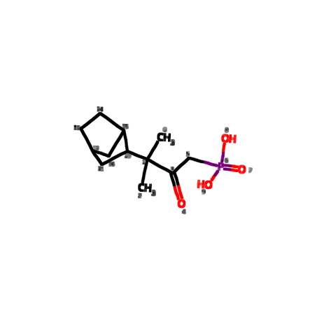 CC(C)(C(=O)CP(=O)(O)O)C1CC2CCC1C2